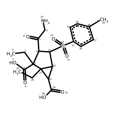 CCC1(C(=O)O)C(C(=O)CN)C(S(=O)(=O)c2ccc(C)cc2)C2C(C(=O)O)C21CC